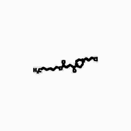 CCCCCCOC(=O)CCC(=O)N1CCN(CCCCl)CC1